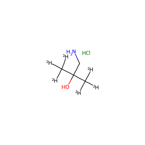 Cl.[2H]C([2H])([2H])C(O)(CN)C([2H])([2H])[2H]